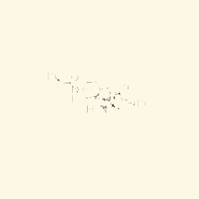 CC(C)(C)OC(=O)N[C@H]1CC[C@@H](CN(C(=O)OC(C)(C)C)S(N)(=O)=O)CC1